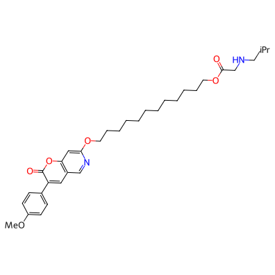 COc1ccc(-c2cc3cnc(OCCCCCCCCCCCCOC(=O)CNCC(C)C)cc3oc2=O)cc1